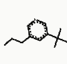 CCCc1cncc(C(C)(C)C)c1